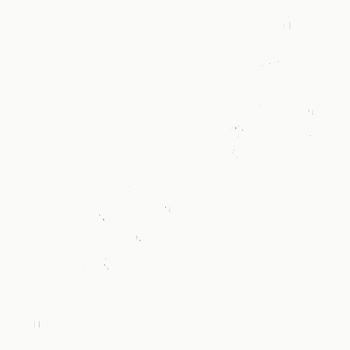 OCCCNc1nccc(NCCCCNc2ccnc3cc(Cl)ccc23)n1